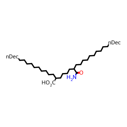 CCCCCCCCCCCCCCCCCCCCC(CCCCC(CCCCCCCCCCCCCCCCCCCC)C(=O)O)C(N)=O